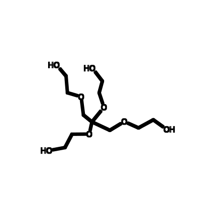 OCCOCC(COCCO)(OCCO)OCCO